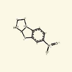 O=[N+]([O-])c1ccc2c(c1)SC1NCCN21